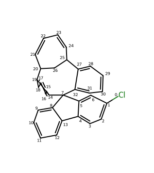 Clc1ccc2c(c1)C1(c3ccccc3-2)c2ccccc2C2C=CC=CC(C2)c2ccccc21